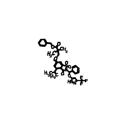 CC(C)c1cc(OCC(C)(C)C(=O)OCc2ccccc2)cc2c1C(=O)N(C(Oc1cc(C(F)(F)F)n[nH]1)c1ccccc1)S2(=O)=O